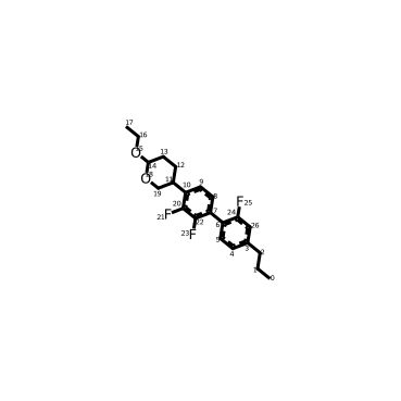 CCCc1ccc(-c2ccc(C3CCC(OCC)OC3)c(F)c2F)c(F)c1